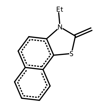 C=C1Sc2c(ccc3ccccc23)N1CC